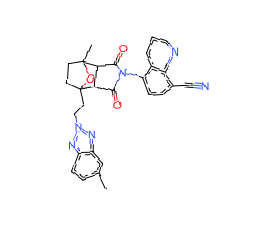 Cc1ccc2nn(CCC34CCC(C)(O3)C3C(=O)N(c5ccc(C#N)c6ncccc56)C(=O)C34)nc2c1